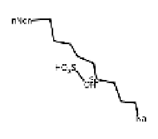 CCCCCCCCCCCCCC[Se]CC[CH2][Na].O=S(=O)(O)O